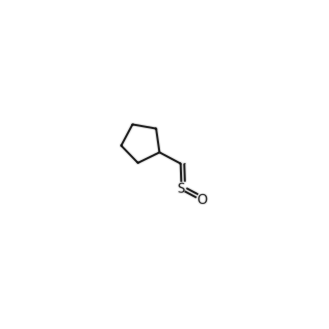 O=S=[C]C1CCCC1